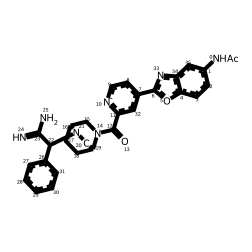 CC(=O)Nc1ccc2oc(-c3ccnc(C(=O)N4CC5CCC4CN5C(C(=N)N)c4ccccc4)c3)nc2c1